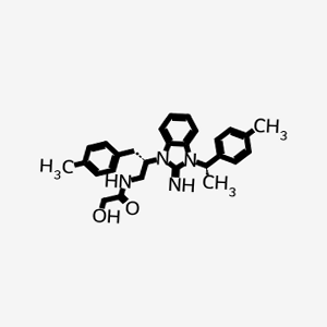 Cc1ccc(C[C@@H](CNC(=O)CO)n2c(=N)n([C@@H](C)c3ccc(C)cc3)c3ccccc32)cc1